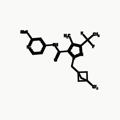 CSc1cc(NC(=O)c2c(C)c(C(C)(F)F)nn2CC23CC(C(F)(F)F)(C2)C3)ccn1